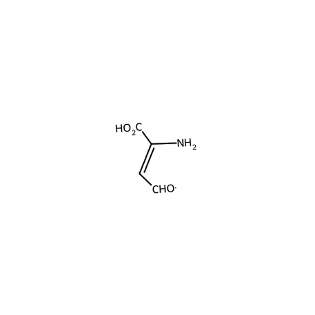 NC(=C[C]=O)C(=O)O